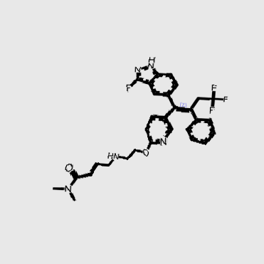 CN(C)C(=O)C=CCNCCOc1ccc(/C(=C(/CC(F)(F)F)c2ccccc2)c2ccc3[nH]nc(F)c3c2)cn1